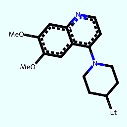 CCC1CCN(c2ccnc3cc(OC)c(OC)cc23)CC1